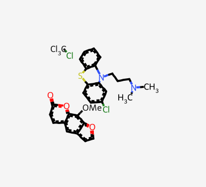 CN(C)CCCN1c2ccccc2Sc2ccc(Cl)cc21.COc1c2occc2cc2ccc(=O)oc12.ClC(Cl)(Cl)Cl